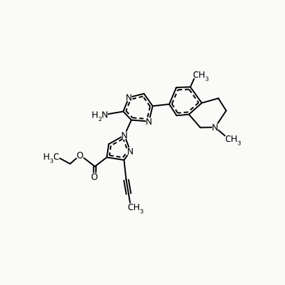 CC#Cc1nn(-c2nc(-c3cc(C)c4c(c3)CN(C)CC4)cnc2N)cc1C(=O)OCC